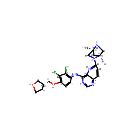 Fc1c(Nc2ncnc3ccc(N4C[C@@H]5C[C@H]4CN5)nc23)ccc(OC[C@@H]2CCOC2)c1F